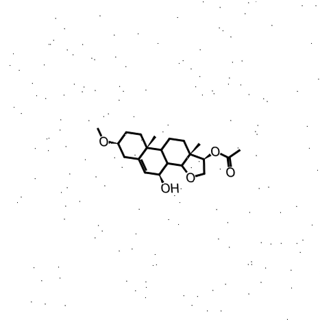 CO[C@H]1CC[C@@]2(C)C(=C[C@H](O)C3C2CC[C@@]2(C)C3OC[C@@H]2OC(C)=O)C1